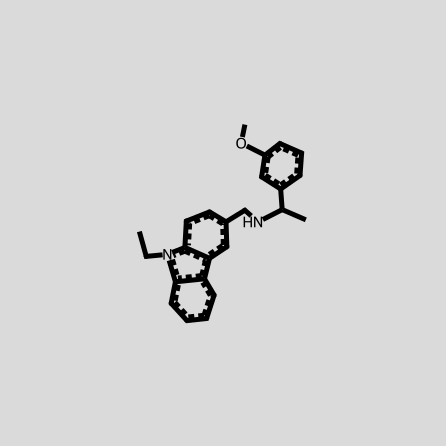 CCn1c2ccccc2c2cc(CNC(C)c3cccc(OC)c3)ccc21